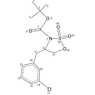 CC(C)(C)OC(=O)N1C(Cc2cccc(Cl)c2)COS1(=O)=O